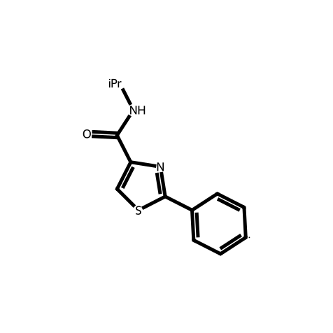 CC(C)NC(=O)c1csc(-c2cc[c]cc2)n1